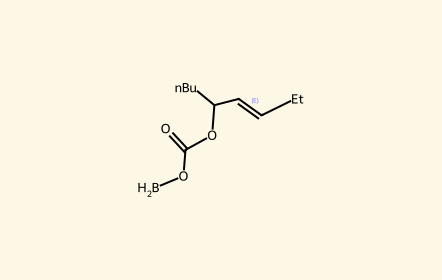 BOC(=O)OC(/C=C/CC)CCCC